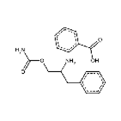 NC(=O)OCC(N)Cc1ccccc1.O=C(O)c1ccccc1